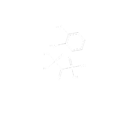 Cc1ccccc1C.[O]=[Zn]([P](=O)(O)O)[P](=O)(O)O